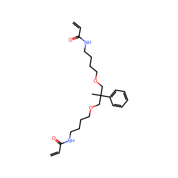 C=CC(=O)NCCCCOCC(C)(COCCCCNC(=O)C=C)c1ccccc1